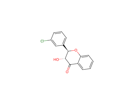 O=C1c2ccccc2O[C@H](c2cccc(Cl)c2)[C@H]1O